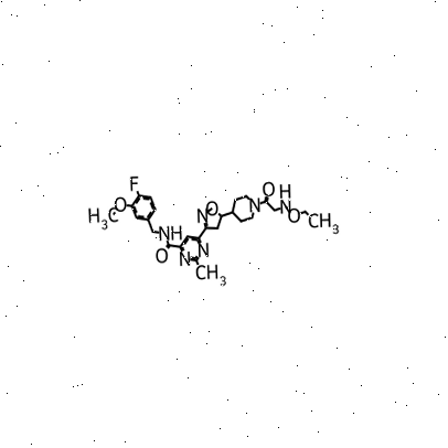 CCONCC(=O)N1CCC(C2CC(c3cc(C(=O)NCc4ccc(F)c(OC)c4)nc(C)n3)=NO2)CC1